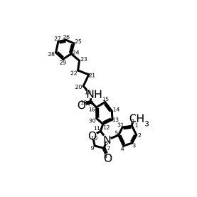 Cc1cccc(N2C(=O)COC2c2cccc(C(=O)NCCCCc3ccccc3)c2)c1